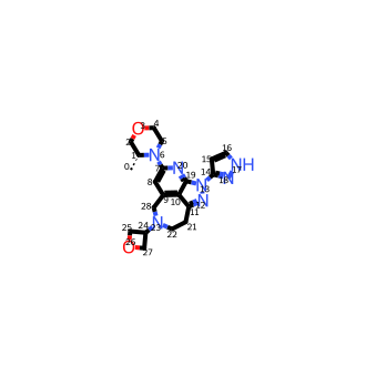 C[C@@H]1COCCN1c1cc2c3c(nn(-c4cc[nH]n4)c3n1)CCN(C1COC1)C2